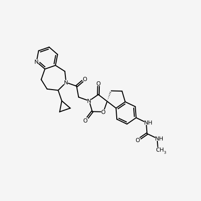 CNC(=O)Nc1ccc2c(c1)CC[C@@]21OC(=O)N(CC(=O)N2Cc3cccnc3CCC2C2CC2)C1=O